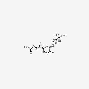 Cc1ccc(N(C)N=CC(=O)O)cc1OCC(F)(F)C(F)(F)F